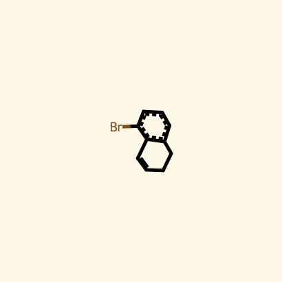 Brc1cccc2c1C=CCC2